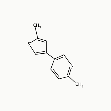 Cc1ccc(-c2csc(C)c2)cn1